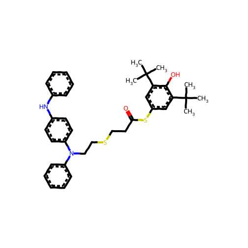 CC(C)(C)c1cc(SC(=O)CCSCCN(c2ccccc2)c2ccc(Nc3ccccc3)cc2)cc(C(C)(C)C)c1O